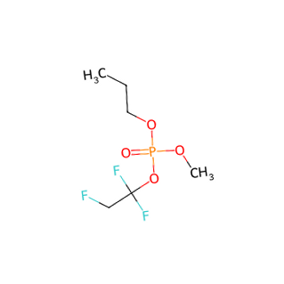 CCCOP(=O)(OC)OC(F)(F)CF